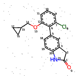 O=C1Cc2cc(-c3c(Cl)cccc3OCC3CC3)ccc2N1